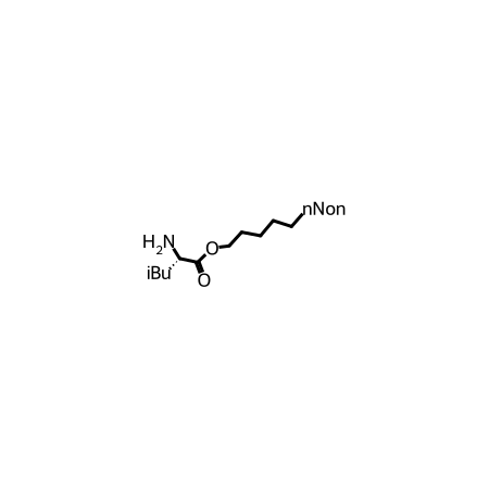 CCCCCCCCCCCCCCOC(=O)[C@@H](N)C(C)CC